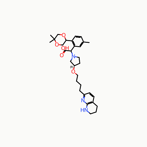 Cc1ccc(C2COC(C)(C)CO2)c(C(C(=O)O)N2CC[C@@H](OCCCCc3ccc4c(n3)NCCC4)C2)c1